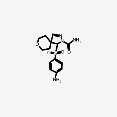 NC(=O)N1N=CC2(CCOCC2)C1S(=O)(=O)c1ccc(N)cc1